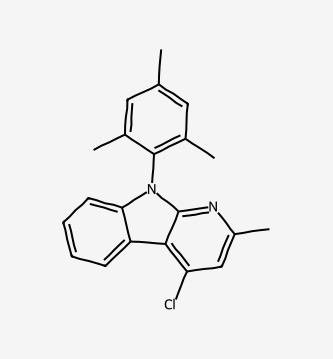 Cc1cc(C)c(-n2c3ccccc3c3c(Cl)cc(C)nc32)c(C)c1